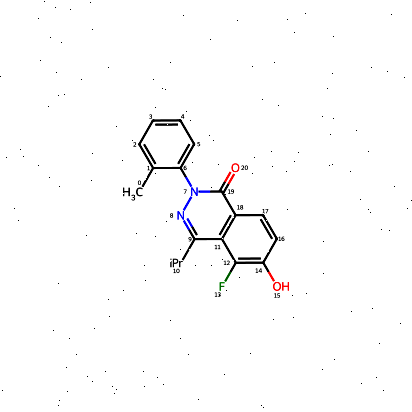 Cc1ccccc1-n1nc(C(C)C)c2c(F)c(O)ccc2c1=O